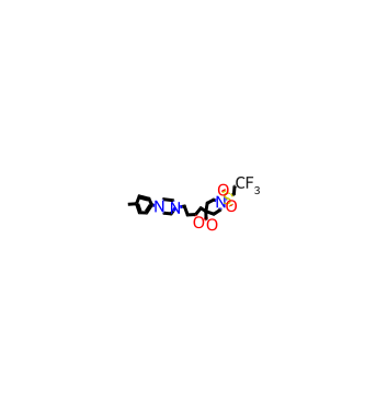 Cc1ccc(N2CCN(CCC3CC4(CCN(S(=O)(=O)CCC(F)(F)F)CC4)C(=O)O3)CC2)cc1